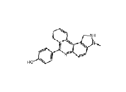 CN1NCc2c1ccc1nc(-c3ccc(O)cc3)c3c(c21)C=CCC3